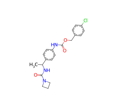 CC(NC(=O)N1CCC1)c1ccc(NC(=O)OCc2ccc(Cl)cc2)cc1